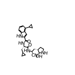 N#C[C@H](C[C@@H]1CCNC1O)NC(=O)[C@H](CC1CC1)NC(=O)c1cc2c(C3CC3)cccc2[nH]1